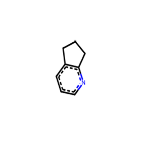 [C]1Cc2cccnc2C1